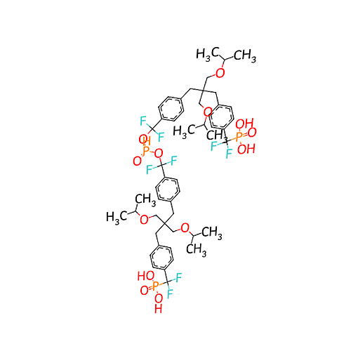 CC(C)OCC(COC(C)C)(Cc1ccc(C(F)(F)O[PH](=O)OC(F)(F)c2ccc(CC(COC(C)C)(COC(C)C)Cc3ccc(C(F)(F)P(=O)(O)O)cc3)cc2)cc1)Cc1ccc(C(F)(F)P(=O)(O)O)cc1